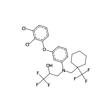 OC(CN(CC1(C(F)(F)F)CCCCC1)c1cccc(Oc2cccc(Cl)c2Cl)c1)C(F)(F)F